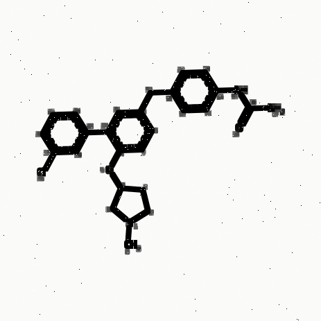 CN1CCC(Oc2ccc(Cc3ccc(NC(N)=O)cc3)cc2-c2cccc(Cl)c2)C1